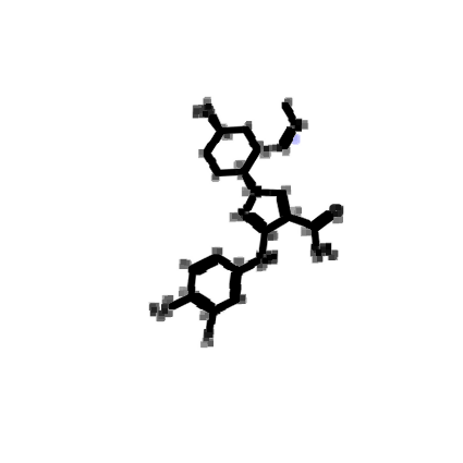 C/N=C\[C@H]1C[C@H](O)CC[C@@H]1n1cc(C(N)=O)c(Nc2ccc(C(F)(F)F)c(F)c2)n1